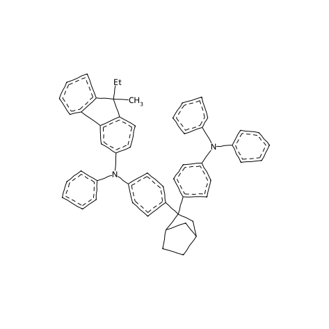 CCC1(C)c2ccccc2-c2cc(N(c3ccccc3)c3ccc(C4(c5ccc(N(c6ccccc6)c6ccccc6)cc5)CC5CCC4C5)cc3)ccc21